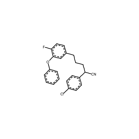 N#CC(CCCc1ccc(F)c(Oc2ccccc2)c1)c1ccc(Cl)cc1